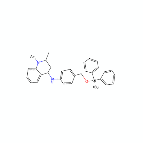 CC(=O)N1c2ccccc2C(Nc2ccc(CO[Si](c3ccccc3)(c3ccccc3)C(C)(C)C)cc2)CC1C